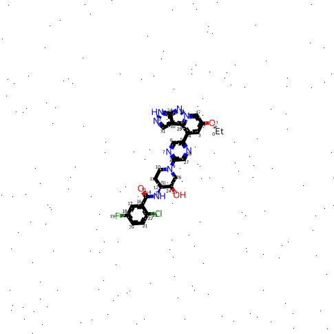 CCOc1cc(-c2cnc(N3CC[C@H](NC(=O)c4cc(F)ccc4Cl)C(O)C3)cn2)c2c3cn[nH]c3nn2c1